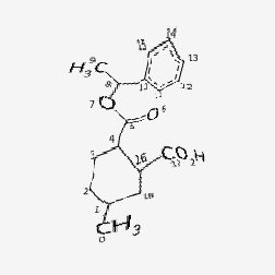 CC1CCC(C(=O)OC(C)c2ccccc2)C(C(=O)O)C1